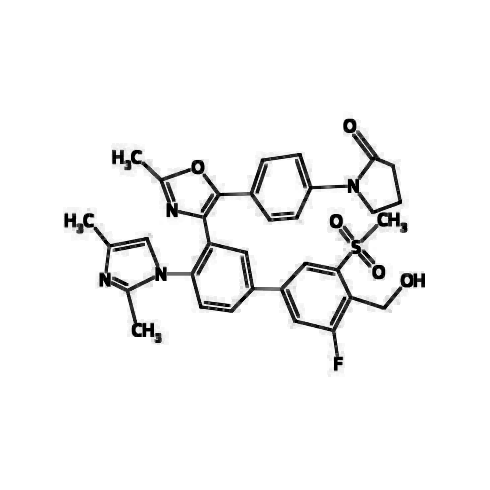 Cc1cn(-c2ccc(-c3cc(F)c(CO)c(S(C)(=O)=O)c3)cc2-c2nc(C)oc2-c2ccc(N3CCCC3=O)cc2)c(C)n1